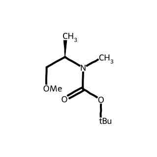 COC[C@@H](C)N(C)C(=O)OC(C)(C)C